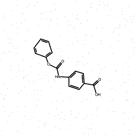 O=C(Nc1ccc(C(=O)O)cc1)Oc1ccccc1